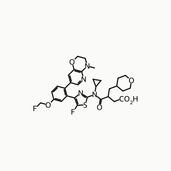 CN1CCOc2cc(-c3ccc(OCF)cc3-c3nc(N(C(=O)C(CC(=O)O)CC4CCOCC4)C4CC4)sc3F)cnc21